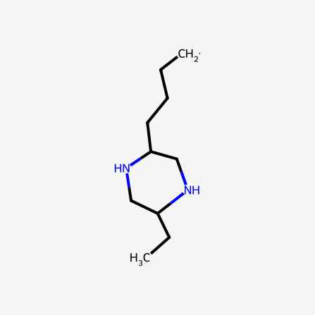 [CH2]CCCC1CNC(CC)CN1